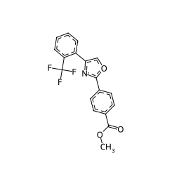 COC(=O)c1ccc(-c2nc(-c3ccccc3C(F)(F)F)co2)cc1